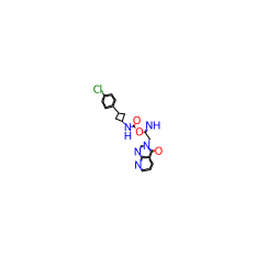 N=C(Cn1cnc2ncccc2c1=O)OC(=O)NC1CC(c2ccc(Cl)cc2)C1